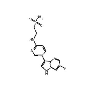 NS(=O)(=O)CCNc1ccc(-c2c[nH]c3cc(F)ccc23)cn1